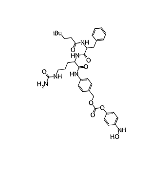 CCC(C)CCC(=O)NC(Cc1ccccc1)C(=O)NC(CCCNC(N)=O)C(=O)Nc1ccc(COC(=O)Oc2ccc(NO)cc2)cc1